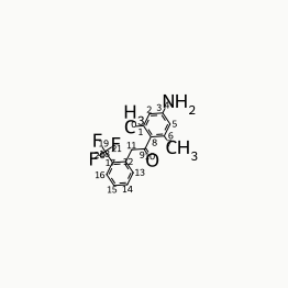 Cc1cc(N)cc(C)c1C(=O)Cc1ccccc1C(F)(F)F